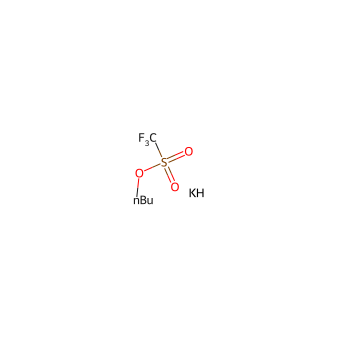 CCCCOS(=O)(=O)C(F)(F)F.[KH]